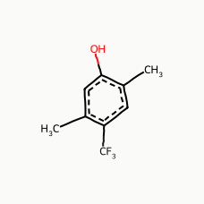 Cc1cc(C(F)(F)F)c(C)cc1O